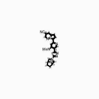 CNc1cc(-c2ccc3cc(C#N)cnn23)ncc1-c1nnc(N2CC3CCC(C2)N3)s1